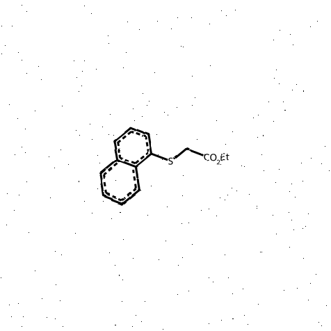 CCOC(=O)CSc1cccc2ccccc12